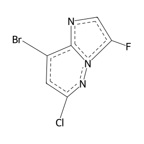 Fc1cnc2c(Br)cc(Cl)nn12